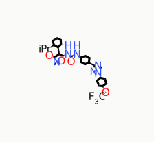 CC(C)c1ccccc1-c1c(NC(=O)Nc2ccc(-c3ncn(-c4ccc(OC(F)(F)F)cc4)n3)cc2)on(C)c1=O